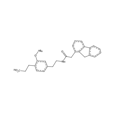 CCCCOc1cc(CCNC(=O)Cc2cccc3c2Cc2ccccc2-3)ccc1CCC(=O)O